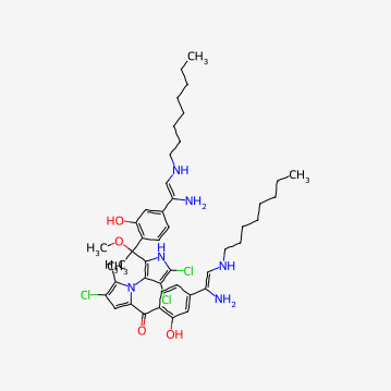 CCCCCCCCN/C=C(\N)c1ccc(C(=O)c2cc(Cl)c(C)n2-c2c(C(C)(OC)c3ccc(/C(N)=C/NCCCCCCCC)cc3O)[nH]c(Cl)c2Cl)c(O)c1